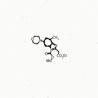 CCOC(=O)Cc1nc2c(C)cc(N3CCOCC3)cc2n1C(=O)OC(C)(C)C